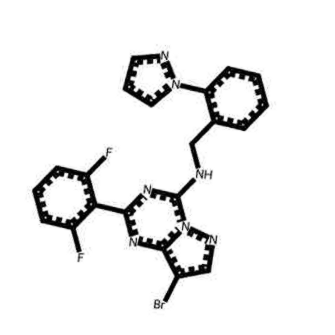 Fc1cccc(F)c1-c1nc(NCc2ccccc2-n2cccn2)n2ncc(Br)c2n1